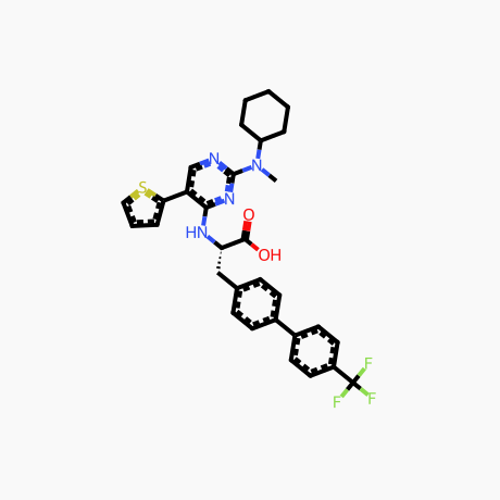 CN(c1ncc(-c2cccs2)c(N[C@@H](Cc2ccc(-c3ccc(C(F)(F)F)cc3)cc2)C(=O)O)n1)C1CCCCC1